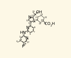 Cc1cc(Nc2cccc(-c3cnc(C(C)(O)[C@H]4CC[C@H](C(=O)O)CC4)s3)n2)ncc1F